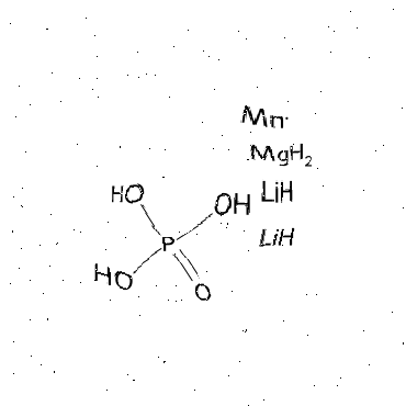 O=P(O)(O)O.[LiH].[LiH].[MgH2].[Mn]